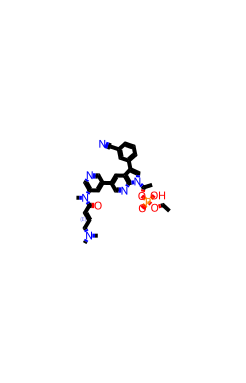 CCOP(=O)(O)OC(C)n1cc(-c2cccc(C#N)c2)c2cc(-c3cncc(N(C)C(=O)/C=C/CN(C)C)c3)cnc21